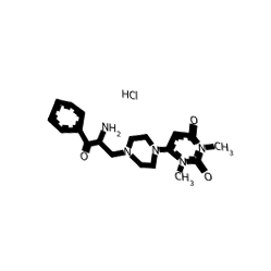 Cl.Cn1c(N2CCN(CC(N)C(=O)c3ccccc3)CC2)cc(=O)n(C)c1=O